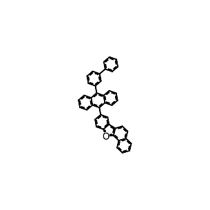 c1ccc(-c2cccc(-c3c4ccccc4c(-c4ccc5oc6c7ccccc7ccc6c5c4)c4ccccc34)c2)cc1